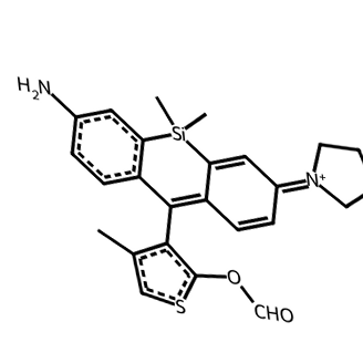 Cc1csc(OC=O)c1C1=C2C=CC(=[N+]3CCCC3)C=C2[Si](C)(C)c2cc(N)ccc21